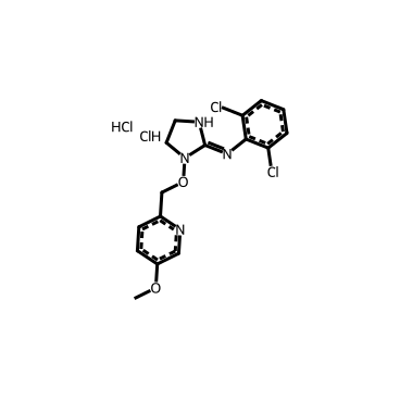 COc1ccc(CON2CCN/C2=N\c2c(Cl)cccc2Cl)nc1.Cl.Cl